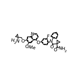 COc1cc2c(Oc3ccc(N(C(=O)C4(C(N)=O)CC4)c4ccccc4)c(F)c3)ccnc2cc1OCC1(N)CC1